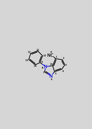 N#Cc1cccc2ncn(-c3ccccc3)c12